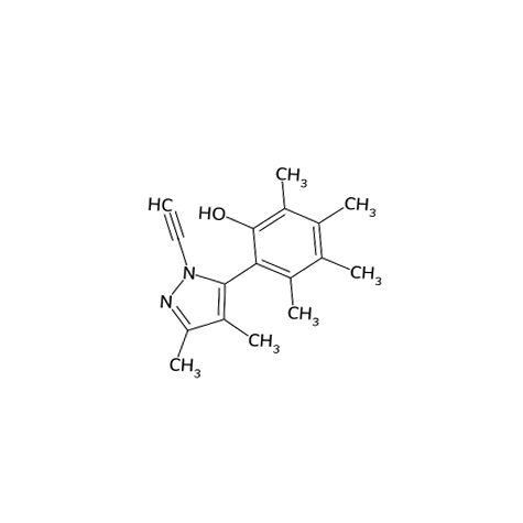 C#Cn1nc(C)c(C)c1-c1c(C)c(C)c(C)c(C)c1O